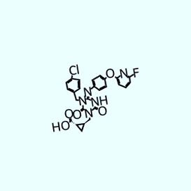 O=C(O)[C@H]1C[C@@H]1Cn1c(=O)[nH]/c(=N\c2ccc(Oc3cccc(F)n3)cc2)n(Cc2ccc(Cl)cc2)c1=O